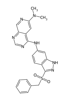 CN(C)c1cc2c(Nc3ccc4c(S(=O)(=O)Cc5ccccc5)n[nH]c4c3)ncnc2cn1